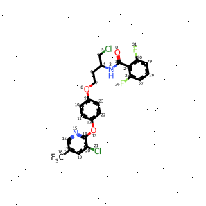 O=C(NC(CCl)CCOc1ccc(Oc2ncc(C(F)(F)F)cc2Cl)cc1)c1c(F)cccc1F